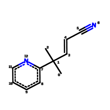 CC(C)(C=CC#N)c1ccccn1